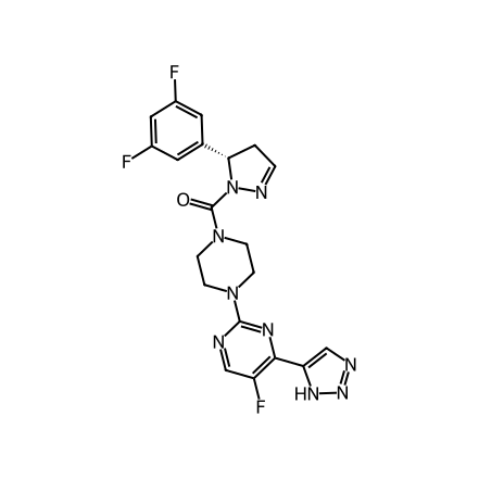 O=C(N1CCN(c2ncc(F)c(-c3cnn[nH]3)n2)CC1)N1N=CC[C@H]1c1cc(F)cc(F)c1